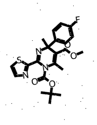 COC(=O)C1=C(C)N(C(=O)OC(C)(C)C)C(c2nccs2)=NC1(C)c1ccc(F)cc1